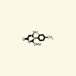 CSc1nc(=O)cc(N)n1-c1ccc(C)cc1